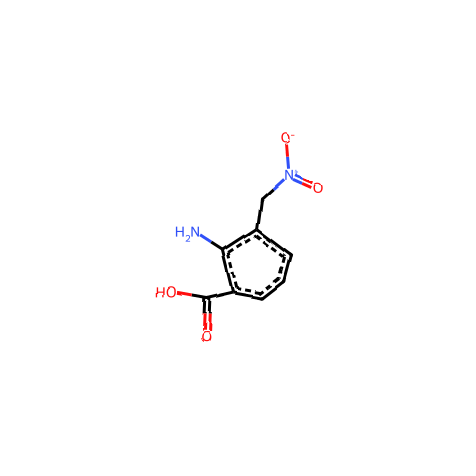 Nc1c(C[N+](=O)[O-])cccc1C(=O)O